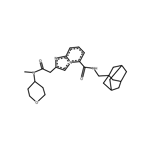 CN(C(=O)Cc1cn2c(C(=O)NCC34CC5CC(CC(C5)C3)C4)cccc2n1)C1CCOCC1